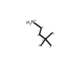 CC(C)(C)[CH]CN